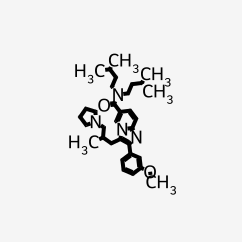 COc1cccc(-c2nc3ccc(C(=O)N(CCC(C)C)CCC(C)C)cn3c2CC(C)CN2CCCC2)c1